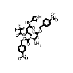 NC(=NC(=O)OCc1ccc([N+](=O)[O-])cc1)N(CC(CC(=O)NC1CNC1)OC(=O)C(F)(F)F)C(=O)OCc1ccc([N+](=O)[O-])cc1